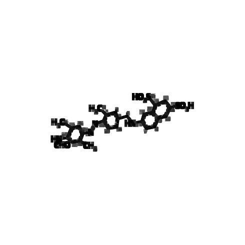 Cc1cc(CNc2ccc3cc(S(=O)(=O)O)cc(S(=O)(=O)O)c3c2)ccc1N=Nc1cc(C)c(NC=O)cc1C